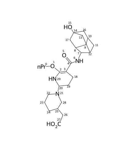 CCCOC1=C(C(=O)NC2C3CC4CC2CC(O)(C4)C3)CCC(N2CCCC(CC(=O)O)C2)N1